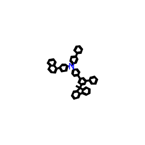 CC1(c2cc(-c3ccccc3)cc(-c3ccc(N(c4ccc(-c5ccccc5)cc4)c4ccc(-c5cccc6ccccc56)cc4)cc3)c2)c2ccccc2-c2ccccc21